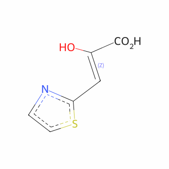 O=C(O)/C(O)=C/c1nccs1